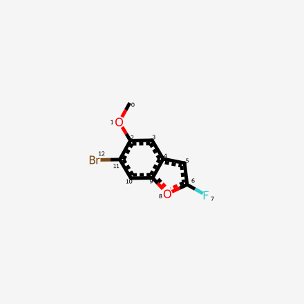 COc1cc2cc(F)oc2cc1Br